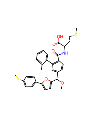 COC(c1ccc(C(=O)NC(CCSC)C(=O)O)c(-c2ccccc2C)c1)c1ccc(-c2ccc(SC)cc2)o1